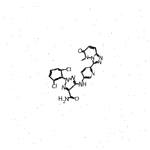 Cn1c(=O)ccc2nnc(-c3ccc(Nc4nn(-c5c(Cl)cccc5Cl)nc4C(N)=O)cn3)n21